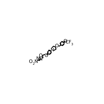 O=[N+]([O-])c1cn2c(n1)OC(COc1ccc(N3CCC(OCc4ccc(OC(F)(F)F)cc4)CC3)cc1)C2